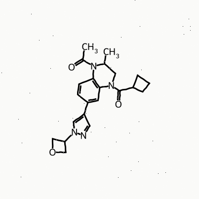 CC(=O)N1c2ccc(-c3cnn(C4COC4)c3)cc2N(C(=O)C2CCC2)CC1C